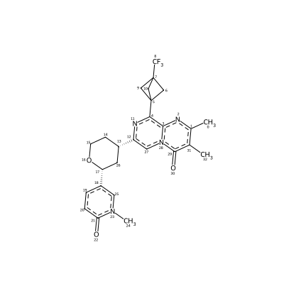 Cc1nc2c(C34CC(C(F)(F)F)(C3)C4)nc([C@H]3CCO[C@@H](c4ccc(=O)n(C)c4)C3)cn2c(=O)c1C